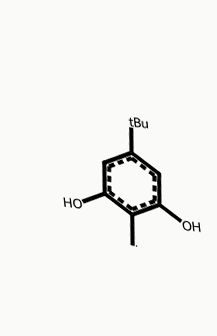 [CH2]c1c(O)cc(C(C)(C)C)cc1O